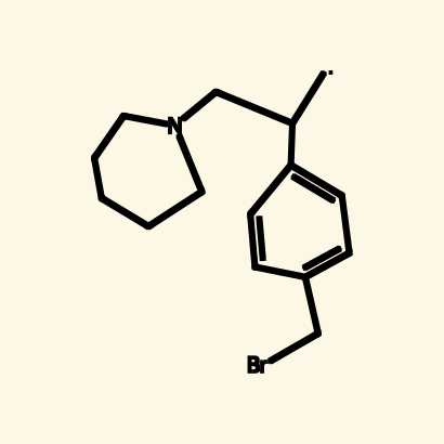 [CH2]C(CN1CCCCC1)c1ccc(CBr)cc1